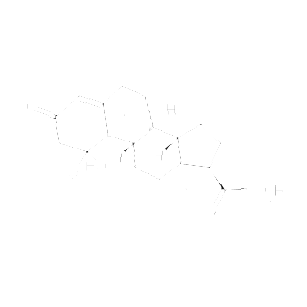 C[C@]12CC[C@H]3[C@@H](CCC4=CC(=O)CC(O)(O)[C@@]43C)[C@@H]1CC[C@H]2C(=O)C(=O)O